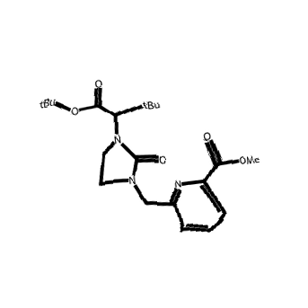 COC(=O)c1cccc(CN2CCN(C(C(=O)OC(C)(C)C)C(C)(C)C)C2=O)n1